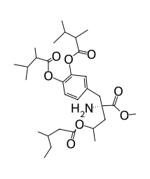 CCC(C)CC(=O)OC(C)C[C@@](N)(Cc1ccc(OC(=O)C(C)C(C)C)c(OC(=O)C(C)C(C)C)c1)C(=O)OC